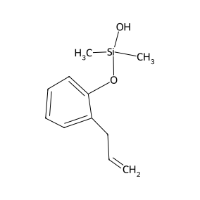 C=CCc1ccccc1O[Si](C)(C)O